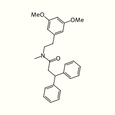 COc1cc(CCN(C)C(=O)CC(c2ccccc2)c2ccccc2)cc(OC)c1